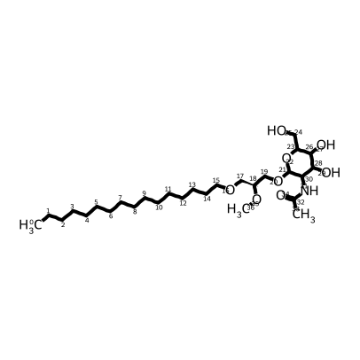 CCCCCCCCCCCCCCCCOC[C@@H](COC1OC(CO)C(O)C(O)C1NC(C)=O)OC